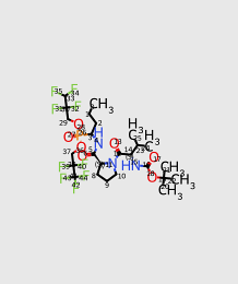 CCCC(NC(=O)[C@@H]1CCCN1C(=O)[C@@H](NC(=O)OC(C)(C)C)C(C)C)P(=O)(OCC(F)(F)C(F)F)OCC(F)(F)C(F)(F)F